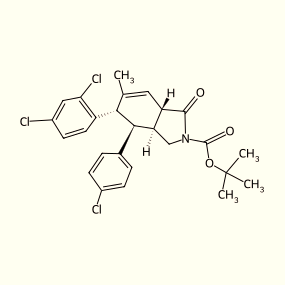 CC1=C[C@@H]2C(=O)N(C(=O)OC(C)(C)C)C[C@H]2[C@@H](c2ccc(Cl)cc2)[C@@H]1c1ccc(Cl)cc1Cl